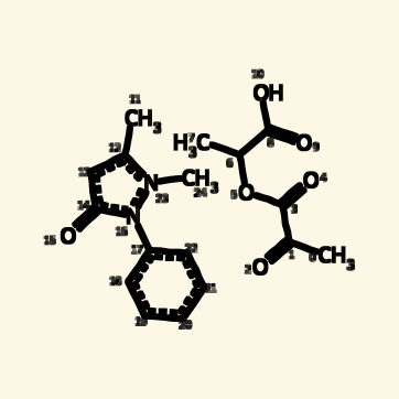 CC(=O)C(=O)OC(C)C(=O)O.Cc1cc(=O)n(-c2ccccc2)n1C